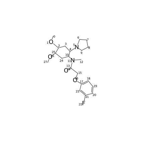 COC1CC(N2CCCC2)C(N(C)C(=O)COc2cccc(F)c2)CC1OC